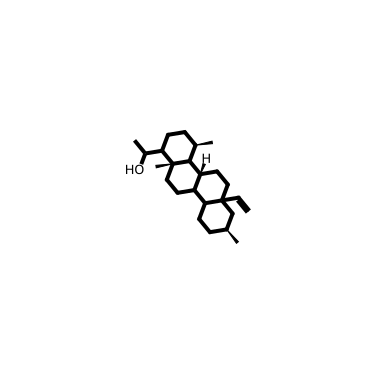 C=CC12CC[C@@H]3C(CC[C@]4(C)C(C(C)O)CC[C@@H](C)C34)C1CC[C@H](C)C2